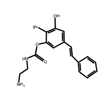 CC(C)c1c(O)cc(/C=C/c2ccccc2)cc1OC(=O)NCCN